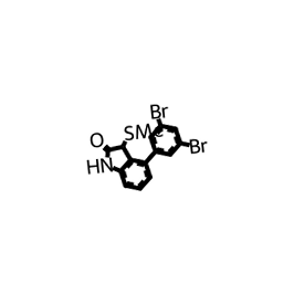 CSC1C(=O)Nc2cccc(-c3cc(Br)cc(Br)c3)c21